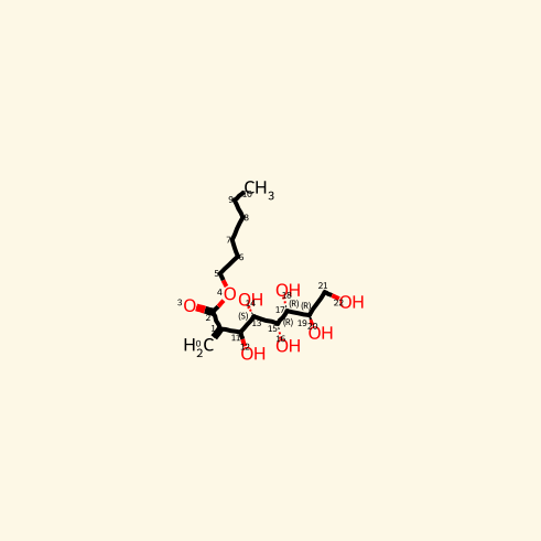 C=C(C(=O)OCCCCCC)C(O)[C@H](O)[C@@H](O)[C@H](O)[C@H](O)CO